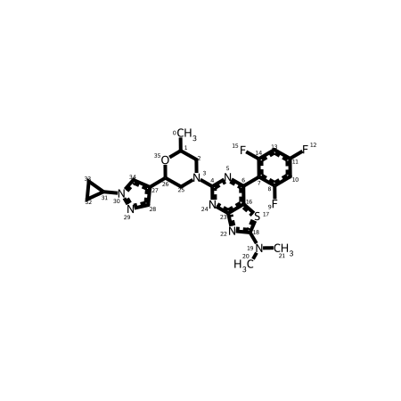 CC1CN(c2nc(-c3c(F)cc(F)cc3F)c3sc(N(C)C)nc3n2)CC(c2cnn(C3CC3)c2)O1